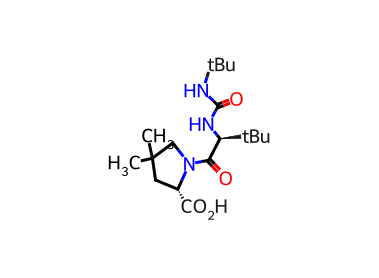 CC1(C)C[C@@H](C(=O)O)N(C(=O)[C@@H](NC(=O)NC(C)(C)C)C(C)(C)C)C1